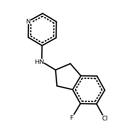 Fc1c(Cl)ccc2c1CC(Nc1cccnc1)C2